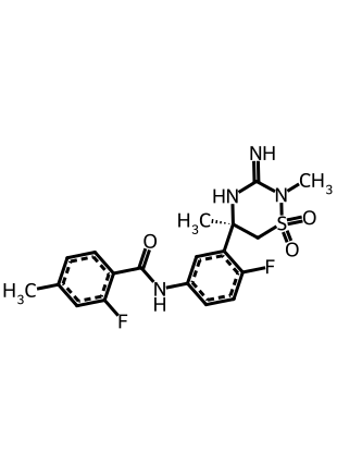 Cc1ccc(C(=O)Nc2ccc(F)c([C@]3(C)CS(=O)(=O)N(C)C(=N)N3)c2)c(F)c1